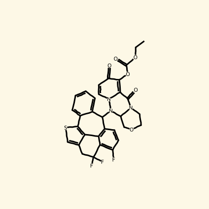 CCOC(=O)Oc1c2n(ccc1=O)N(C1c3ccccc3-c3scc4c3-c3c1ccc(F)c3C(F)(F)C4)C1COCCN1C2=O